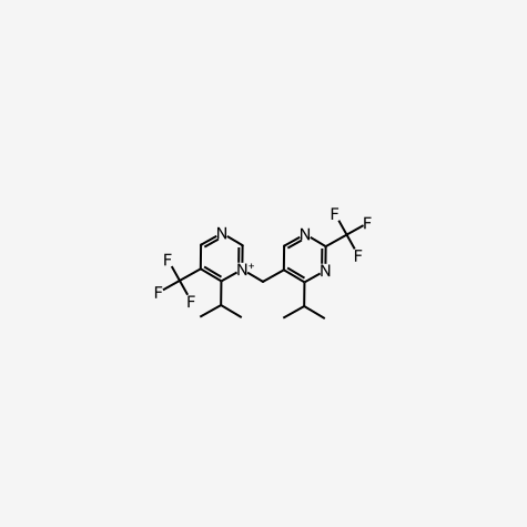 CC(C)c1nc(C(F)(F)F)ncc1C[n+]1cncc(C(F)(F)F)c1C(C)C